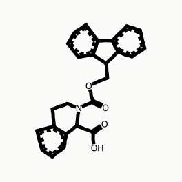 O=C(O)C1c2ccccc2CCN1C(=O)OCC1c2ccccc2-c2ccccc21